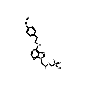 C[C@H](Cn1cnc2c(NCCc3ccc(N=C=S)cc3)ncnc21)OCP(=O)(O)O